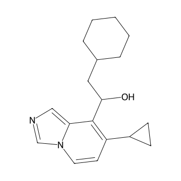 OC(CC1CCCCC1)c1c(C2CC2)ccn2cncc12